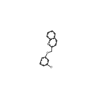 Clc1cc[c]c(OCc2ccc3ccccc3n2)c1